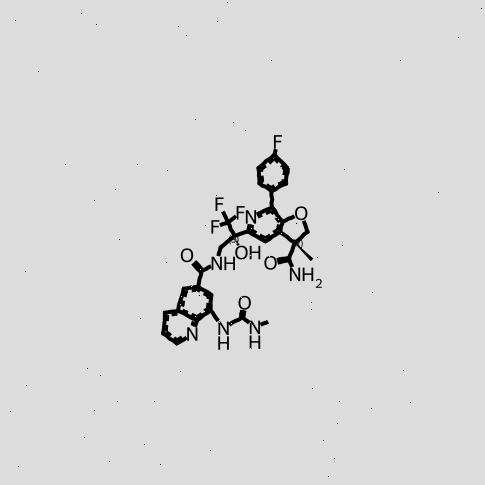 CNC(=O)Nc1cc(C(=O)NC[C@](O)(c2cc3c(c(-c4ccc(F)cc4)n2)OC[C@]3(C)C(N)=O)C(F)(F)F)cc2cccnc12